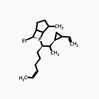 C=CC1C[C@@H]1C(C)[C@@H](CCC/C=C\C)[P@]1C(CC)C2CCC(C)C21